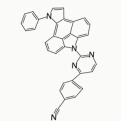 N#Cc1ccc(-c2ccnc(-n3c4cccc5c6ccn(-c7ccccc7)c6c6cccc3c6c54)n2)cc1